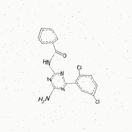 Nc1nc(NC(=O)c2ccccc2)nc(-c2cc(Cl)ccc2Cl)n1